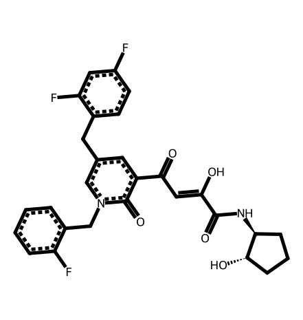 O=C(N[C@H]1CCC[C@@H]1O)C(O)=CC(=O)c1cc(Cc2ccc(F)cc2F)cn(Cc2ccccc2F)c1=O